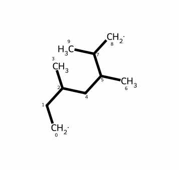 [CH2]CC(C)CC(C)C([CH2])C